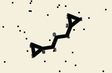 C(CC1CC1)CC1CC1